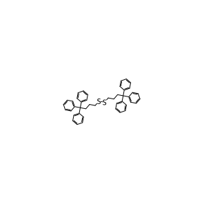 c1ccc(C(CCCSSCCCC(c2ccccc2)(c2ccccc2)c2ccccc2)(c2ccccc2)c2ccccc2)cc1